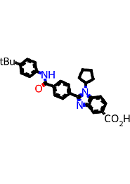 CC(C)(C)c1ccc(NC(=O)c2ccc(-c3nc4cc(C(=O)O)ccc4n3C3CCCC3)cc2)cc1